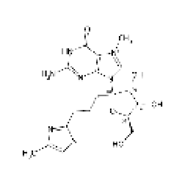 Cc1csc(CCC[C@@]2(n3c[n+](C)c4c(=O)[nH]c(N)nc43)O[C@H](CO)[C@@H](O)[C@H]2O)n1